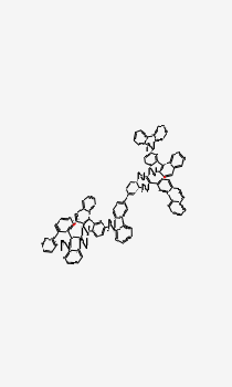 c1ccc(-c2ccccc2-c2nc3ccccc3nc2-n2c3ccc(-n4c5ccccc5c5cc(-c6ccc7nc(-n8c9ccc(-n%10c%11ccccc%11c%11ccccc%11%10)cc9c9c%10ccccc%10ccc98)c(-c8ccc9ccc%10ccccc%10c9c8)nc7c6)ccc54)cc3c3c4ccccc4ccc32)cc1